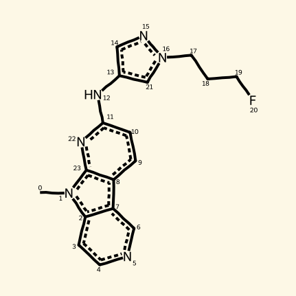 Cn1c2ccncc2c2ccc(Nc3cnn(CCCF)c3)nc21